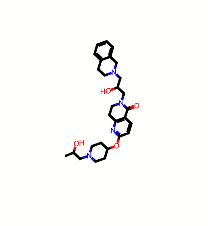 CC(O)CN1CCC(Oc2ccc3c(n2)CCN(CC(O)CN2CCc4ccccc4C2)C3=O)CC1